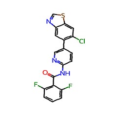 O=C(Nc1ccc(-c2cc3ncsc3cc2Cl)cn1)c1c(F)cccc1F